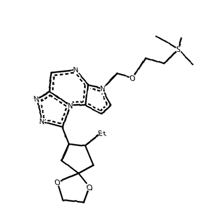 CCC1CC2(CC1c1nnc3cnc4c(ccn4COCCS(C)(C)C)n13)OCCO2